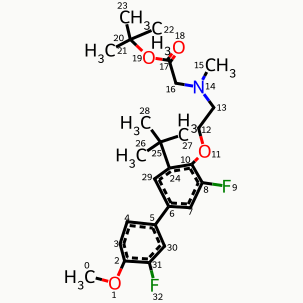 COc1ccc(-c2cc(F)c(OCCN(C)CC(=O)OC(C)(C)C)c(C(C)(C)C)c2)cc1F